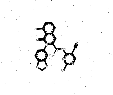 C[C@H](Nc1nc(N)ncc1C#N)c1cc2cccc(Cl)c2c(=O)n1-c1ccc2c(c1)OCO2